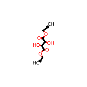 C#CCOC(=O)C(O)C(O)C(=O)OCC#C